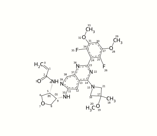 C=CC(=O)N[C@H]1COC[C@H]1Nc1cc2c(N3CC(C)(OC)C3)nc(-c3c(F)c(OC)cc(OC)c3F)nc2cn1